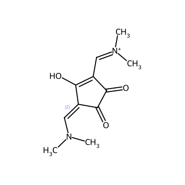 CN(C)/C=C1\C(=O)C(=O)C(C=[N+](C)C)=C1O